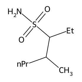 CCCC(C)C(CC)S(N)(=O)=O